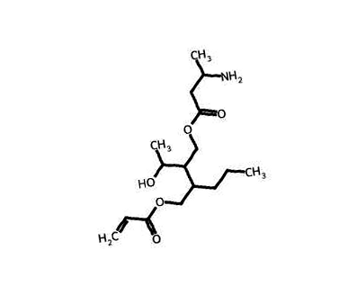 C=CC(=O)OCC(CCC)C(COC(=O)CC(C)N)C(C)O